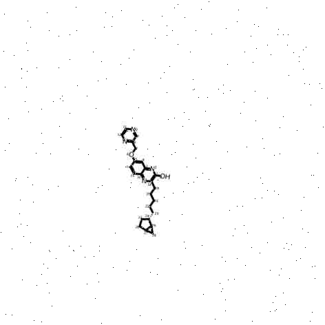 Oc1nc2cc(OCc3cnccn3)ccc2nc1CCCCC[C@H]1CCC2CC21